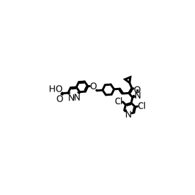 O=C(O)c1cc2ccc(OCC3CCC(/C=C/c4c(-c5c(Cl)cncc5Cl)noc4C4CC4)CC3)cc2nn1